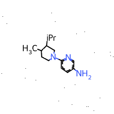 CC(C)C1CN(c2ccc(N)cn2)CCC1C